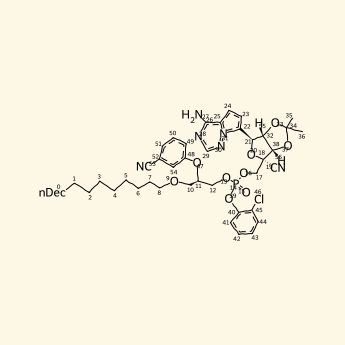 CCCCCCCCCCCCCCCCCCOC[C@H](COP(=O)(OC[C@@]1(C#N)O[C@@H](c2ccc3c(N)ncnn23)[C@@H]2OC(C)(C)O[C@@H]21)Oc1ccccc1Cl)Oc1cccc(C#N)c1